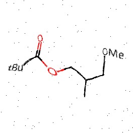 COCC(C)COC(=O)C(C)(C)C